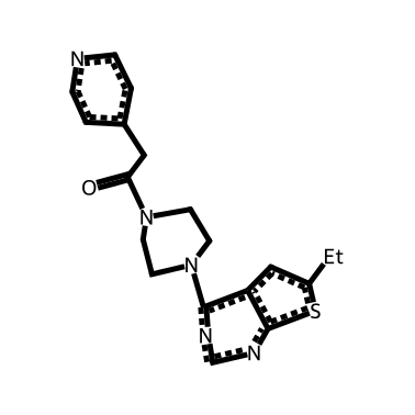 CCc1cc2c(N3CCN(C(=O)Cc4ccncc4)CC3)ncnc2s1